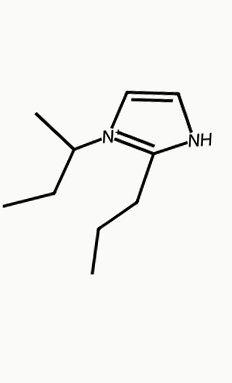 CCCc1[nH]cc[n+]1C(C)CC